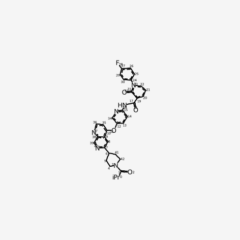 CC(C)C(=O)N1CCC(c2cc3c(Oc4ccc(NC(=O)c5cccn(-c6ccc(F)cc6)c5=O)nc4)ccnc3cn2)CC1